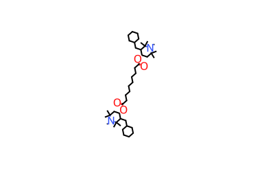 CN1C(C)(C)CC(OC(=O)CCCCCCCCC(=O)OC2CC(C)(C)N(C)C(C)(C)C2CC2CCCCC2)C(CC2CCCCC2)C1(C)C